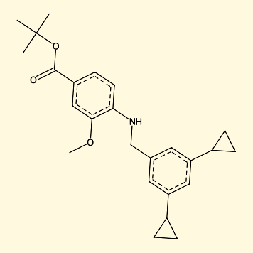 COc1cc(C(=O)OC(C)(C)C)ccc1NCc1cc(C2CC2)cc(C2CC2)c1